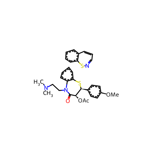 C1=Cc2ccccc2SN=C1.COc1ccc([C@@H]2Sc3ccccc3N(CCN(C)C)C(=O)[C@@H]2OC(C)=O)cc1